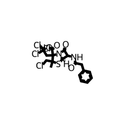 CC1(CCl)S[C@@H]2C(NC(=O)Cc3ccccc3)C(=O)N2C1(CC(Cl)(Cl)Cl)C(=O)O